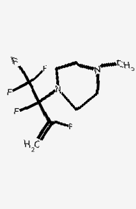 C=C(F)C(F)(N1CCN(C)CC1)C(F)(F)F